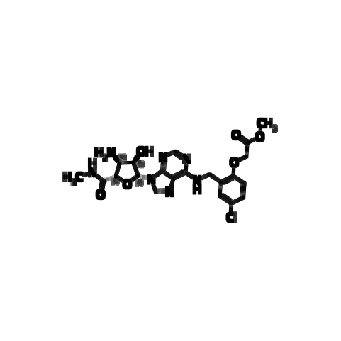 CNC(=O)[C@H]1O[C@@H](n2cnc3c(NCc4cc(Cl)ccc4OCC(=O)OC)ncnc32)[C@H](O)[C@@H]1N